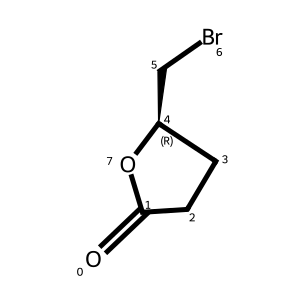 O=C1CC[C@H](CBr)O1